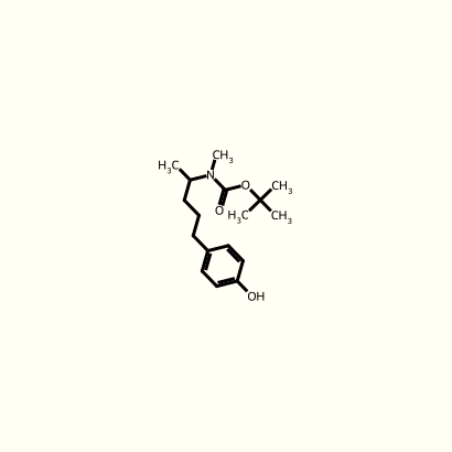 CC(CCCc1ccc(O)cc1)N(C)C(=O)OC(C)(C)C